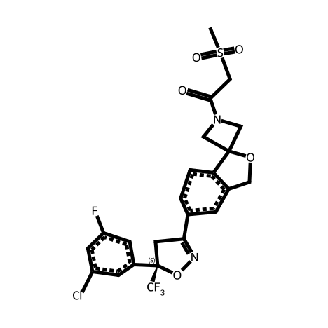 CS(=O)(=O)CC(=O)N1CC2(C1)OCc1cc(C3=NO[C@@](c4cc(F)cc(Cl)c4)(C(F)(F)F)C3)ccc12